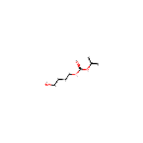 CC(C)OC(=O)OCCCCO